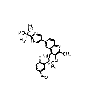 Cc1nc2ccc(-c3cnc(C(C)(C)O)nc3)cc2c(N[C@H](C)c2cc(C=O)ccc2F)c1Cl